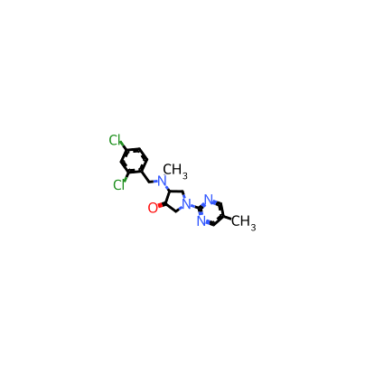 Cc1cnc(N2CC(=O)C(N(C)Cc3ccc(Cl)cc3Cl)C2)nc1